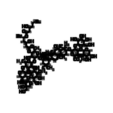 CC[C@H](C)CC[C@H](O)CC(=O)O[C@@H](C[C@H](O)CC(=O)O[C@@H]1C(C)O[C@@H](OC(=O)[C@]23CCC(C)(C)CC2C2=CCC4[C@@]5(C)CC[C@H](O[C@@H]6OC(C(=O)O)[C@H](O)C(O[C@@H]7OC[C@@H](O)C(O)C7O)C6O[C@@H]6OC(CO)[C@H](O)C(O)C6O)[C@@](C)(C=O)C5CC[C@@]4(C)[C@]2(C)C[C@H]3O)C(O[C@@H]2OC(C)[C@H](O[C@H]3OCC(O)[C@H](O[C@@H]4OCC(O)(CO)C4O)C3O)C(O[C@@H]3OC(CO)[C@@H](O)C(O)C3O)C2O)C1O)[C@@H](C)CC